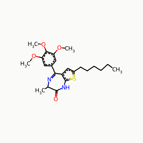 CCCCCCc1cc2c(s1)NC(=O)C(C)N=C2c1cc(OC)c(OC)c(OC)c1